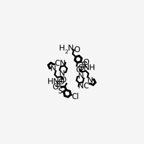 Cc1c(S(=O)(=O)NC(CCn2cccc2C#N)C(=O)N2CCC(C)CC2)sc2ccc(Cl)cc12.Cc1cc(CC(N)=O)ccc1S(=O)(=O)NC(CCn1cccc1C#N)C(=O)N1CCC(C)CC1